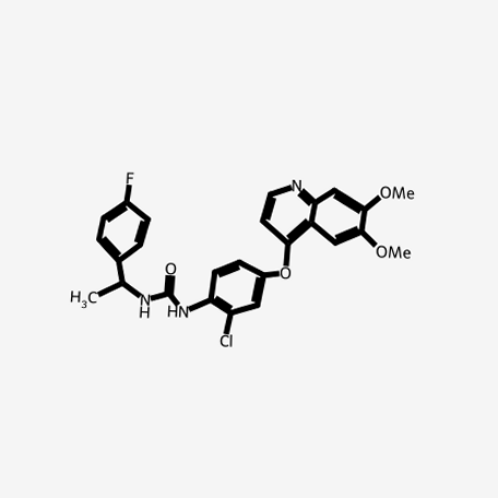 COc1cc2nccc(Oc3ccc(NC(=O)NC(C)c4ccc(F)cc4)c(Cl)c3)c2cc1OC